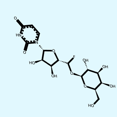 O=c1ccn([C@@H]2O[C@H](C(F)O[C@@H]3O[C@H](CO)[C@H](O)[C@H](O)[C@H]3O)[C@@H](O)[C@H]2O)c(=O)[nH]1